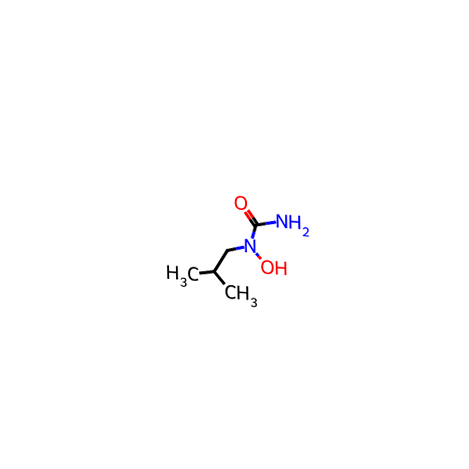 CC(C)CN(O)C(N)=O